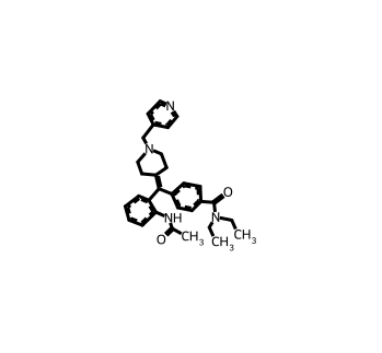 CCN(CC)C(=O)c1ccc(C(=C2CCN(Cc3ccncc3)CC2)c2ccccc2NC(C)=O)cc1